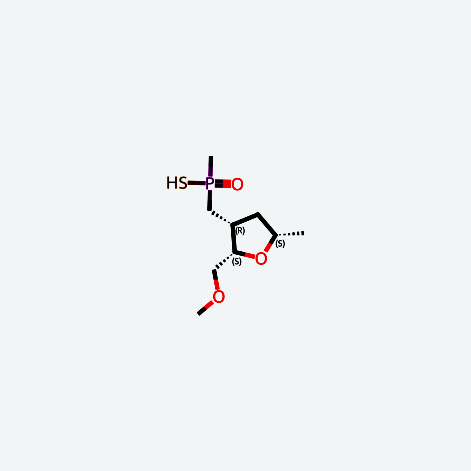 COC[C@H]1O[C@@H](C)C[C@H]1CP(C)(=O)S